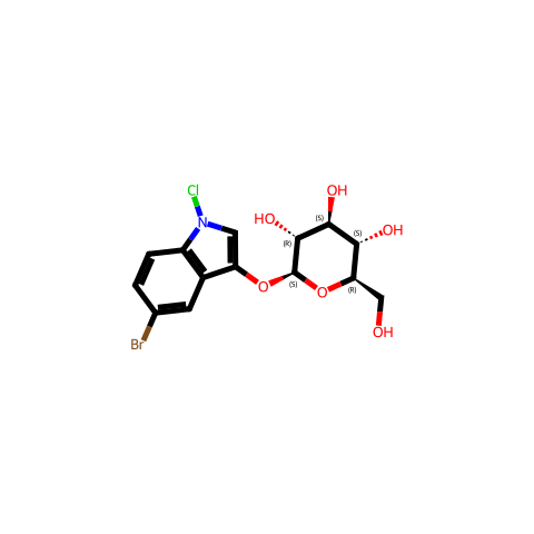 OC[C@H]1O[C@@H](Oc2cn(Cl)c3ccc(Br)cc23)[C@H](O)[C@@H](O)[C@@H]1O